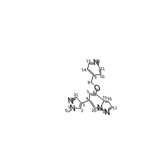 Cn1cc(-c2cc(OCc3ccncc3)c3ccnn3c2)cn1